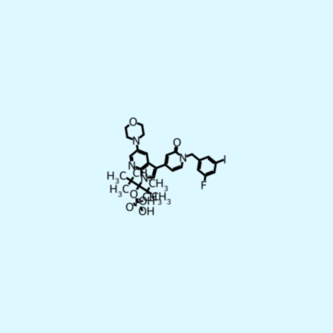 CC(C)(C)C(OP(=O)(O)O)(n1cc(-c2ccn(Cc3cc(F)cc(I)c3)c(=O)c2)c2cc(N3CCOCC3)cnc21)C(C)(C)C